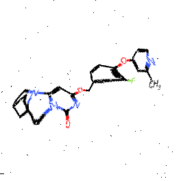 Cc1cc(Oc2ccc(COc3cc4n(c(=O)n3)CC35CC(CN43)C5)cc2F)ccn1